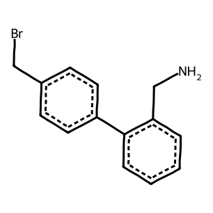 NCc1ccccc1-c1ccc(CBr)cc1